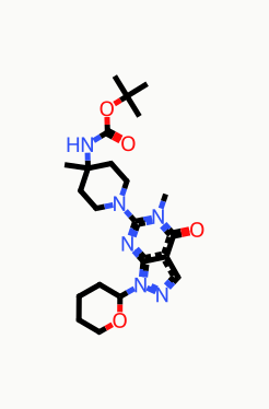 Cn1c(N2CCC(C)(NC(=O)OC(C)(C)C)CC2)nc2c(cnn2C2CCCCO2)c1=O